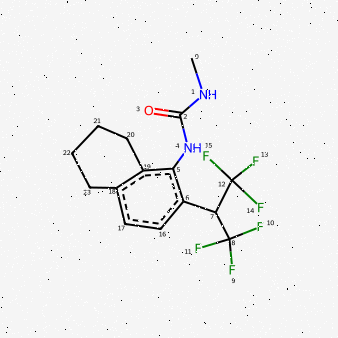 CNC(=O)Nc1c(C(C(F)(F)F)C(F)(F)F)ccc2c1CCCC2